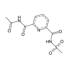 CC(=O)NC(=O)c1cccc(C(=O)NS(C)(=O)=O)n1